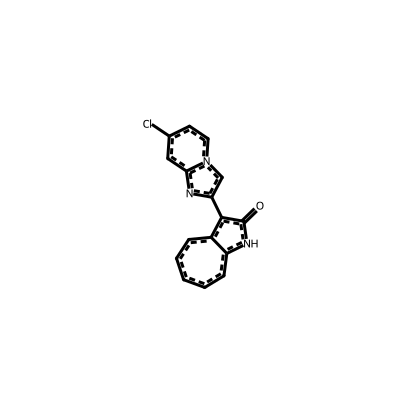 O=c1[nH]c2cccccc-2c1-c1cn2ccc(Cl)cc2n1